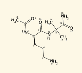 CC(=O)N[C@H](CCCN)C(=O)NC(C)(C)C(N)=O